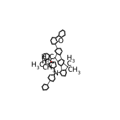 CC1(C)c2ccccc2-c2ccc(N(c3ccc(-c4ccccc4)cc3)c3cccc4c3-c3cc5c(cc3C4(C)C)-c3ccc(-c4cccc6c4oc4ccccc46)cc3C5(C)C)cc21